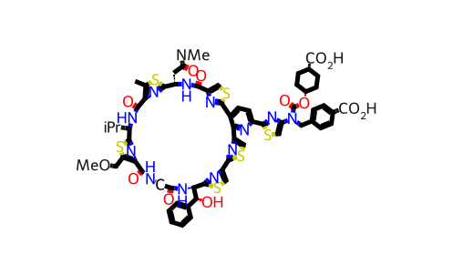 CNC(=O)C[C@@H]1NC(=O)c2csc(n2)-c2ccc(-c3nc(N(Cc4ccc(C(=O)O)cc4)C(=O)O[C@H]4CC[C@H](C(=O)O)CC4)cs3)nc2-c2csc(n2)-c2csc(n2)[C@H]([C@@H](O)c2ccccc2)NC(=O)CNC(=O)c2nc(sc2COC)C(C(C)C)NC(=O)c2nc1sc2C